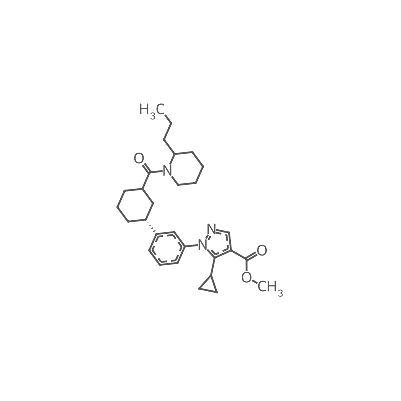 CCCC1CCCCN1C(=O)C1CCC[C@@H](c2cccc(-n3ncc(C(=O)OC)c3C3CC3)c2)C1